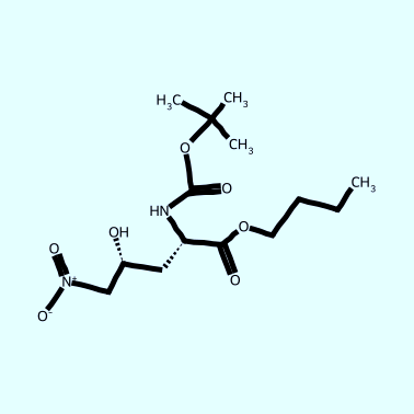 CCCCOC(=O)[C@H](C[C@@H](O)C[N+](=O)[O-])NC(=O)OC(C)(C)C